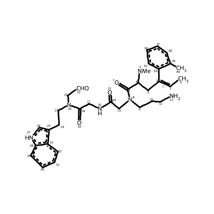 C/C=C(/CC(NC)C(=O)N(CCCN)CC(=O)NCC(=O)N(CC=O)CCc1c[nH]c2ccccc12)c1ccccc1C